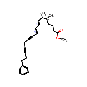 COC(=O)CCC[C@H](C)C(C)/C=C/C=C/C#CCC#CCCc1ccccc1